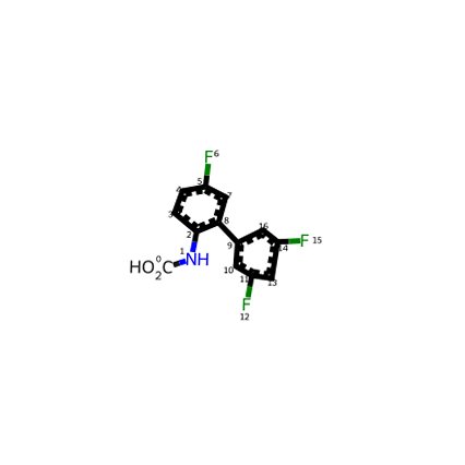 O=C(O)Nc1ccc(F)cc1-c1cc(F)cc(F)c1